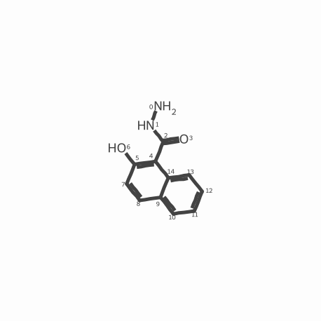 NNC(=O)c1c(O)ccc2ccccc12